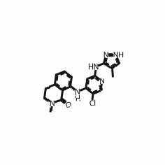 Cc1c[nH]nc1Nc1cc(Nc2cccc3c2C(=O)N(C)CC3)c(Cl)cn1